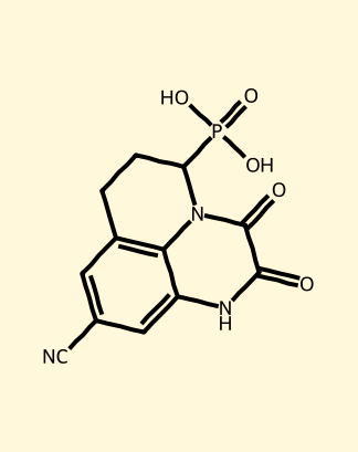 N#Cc1cc2c3c(c1)[nH]c(=O)c(=O)n3C(P(=O)(O)O)CC2